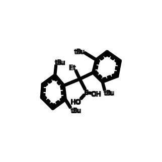 CCC(B(O)O)(c1c(C(C)(C)C)cccc1C(C)(C)C)c1c(C(C)(C)C)cccc1C(C)(C)C